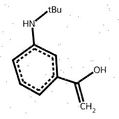 C=C(O)c1cccc(NC(C)(C)C)c1